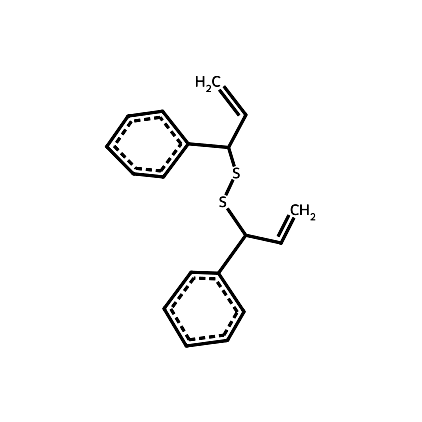 C=CC(SSC(C=C)c1ccccc1)c1ccccc1